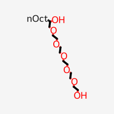 CCCCCCCCC(O)COCCOCCOCCOCCOCCO